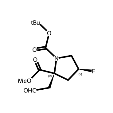 COC(=O)[C@@]1(CC=O)C[C@H](F)CN1C(=O)OC(C)(C)C